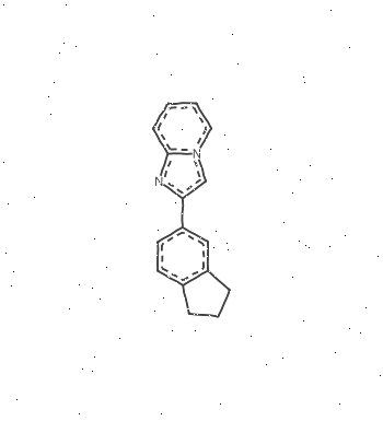 c1ccn2cc(-c3ccc4c(c3)CCC4)nc2c1